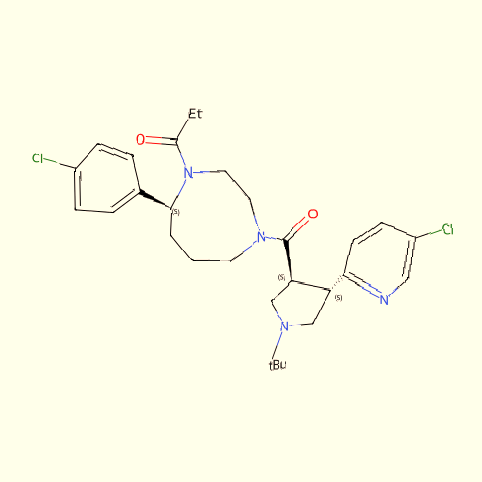 CCC(=O)N1CCN(C(=O)[C@@H]2CN(C(C)(C)C)C[C@H]2c2ccc(Cl)cn2)CCC[C@H]1c1ccc(Cl)cc1